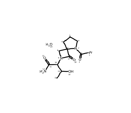 CC(C)C(=O)N1CCCC12CN(C(C(N)=O)C(C)O)C2=O.O